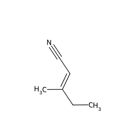 CCC(C)=CC#N